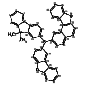 CC1(C)c2ccccc2-c2ccc(N(c3ccc4oc5ccccc5c4c3)c3ccc4ccc5oc6ccccc6c5c4c3)cc21